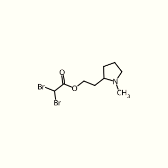 CN1CCCC1CCOC(=O)C(Br)Br